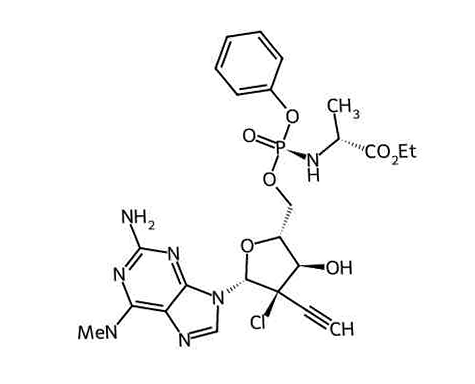 C#C[C@@]1(Cl)[C@H](O)[C@@H](CO[P@@](=O)(N[C@H](C)C(=O)OCC)Oc2ccccc2)O[C@H]1n1cnc2c(NC)nc(N)nc21